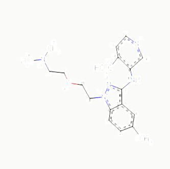 Cc1ccc2c(c1)c(Nc1cnccc1C(=O)O)nn2CCOCCN(C)C